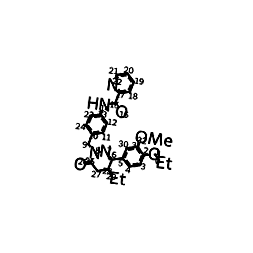 CCOc1ccc(C2=NN(Cc3ccc(NC(=O)c4ccccn4)cc3)C(=O)CC2CC)cc1OC